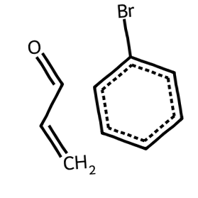 Brc1ccccc1.C=CC=O